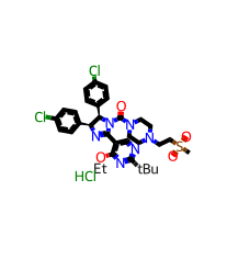 CCOc1nc(C(C)(C)C)ncc1C1=N[C@@H](c2ccc(Cl)cc2)[C@@H](c2ccc(Cl)cc2)N1C(=O)N1CCN(CCS(C)(=O)=O)CC1.Cl